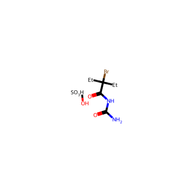 CCC(Br)(CC)C(=O)NC(N)=O.O=S(=O)(O)O